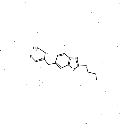 CCCCc1nc2ccc(C/C(=C/F)CN)cc2o1